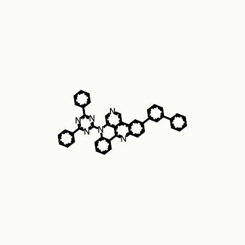 c1ccc(-c2cccc(-c3ccc4nc5c6c(cncc6c4c3)N(c3nc(-c4ccccc4)nc(-c4ccccc4)n3)c3ccccc3-5)c2)cc1